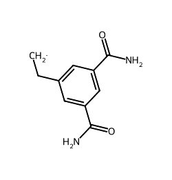 [CH2]Cc1cc(C(N)=O)cc(C(N)=O)c1